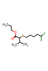 CCCOC(=O)C(SCCCCC(F)F)C(C)C